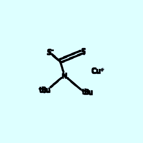 CC(C)(C)N(C(=S)[S-])C(C)(C)C.[Cu+]